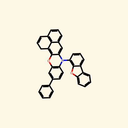 C1=Cc2cccc3cc4c(c(c23)C1)Oc1cc(-c2ccccc2)ccc1N4c1cccc2c1oc1ccccc12